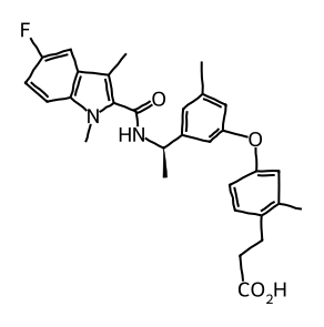 Cc1cc(Oc2ccc(CCC(=O)O)c(C)c2)cc([C@@H](C)NC(=O)c2c(C)c3cc(F)ccc3n2C)c1